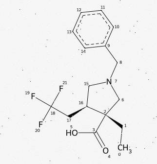 CC[C@]1(C(=O)O)CN(Cc2ccccc2)C[C@@H]1CC(F)(F)F